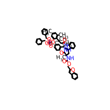 Cc1cc(C)c(C(C)(C)CC(=O)n2cc(CC(C)(NC(=O)OCc3cc4ccccc4o3)C(=O)NC(C)c3ccccc3)c3ccccc32)c(OP(=O)(OCc2ccccc2)OCc2ccccc2)c1